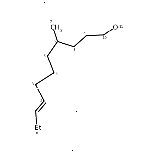 CCC=CCCCC(C)CCC[O]